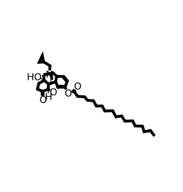 CCCCCCCCCCCCCCCCCC(=O)OC1=C2O[C@H]3C(=O)CC[C@@]4(O)C5CC(C=C1)C2[C@@]34CCN5CC1CC1